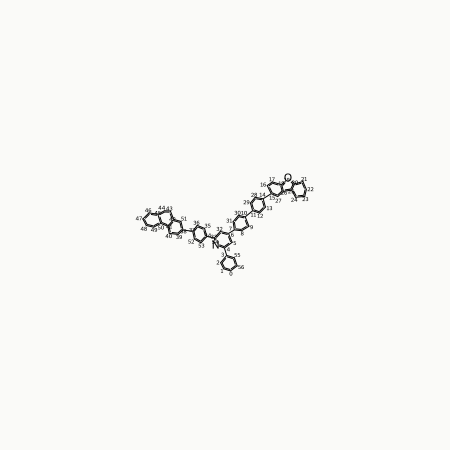 c1ccc(-c2cc(-c3ccc(-c4ccc(-c5ccc6oc7ccccc7c6c5)cc4)cc3)cc(-c3ccc(-c4ccc5c(ccc6ccccc65)c4)cc3)n2)cc1